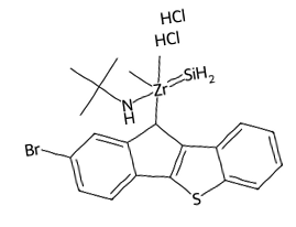 CC(C)(C)[NH][Zr]([CH3])([CH3])(=[SiH2])[CH]1c2cc(Br)ccc2-c2sc3ccccc3c21.Cl.Cl